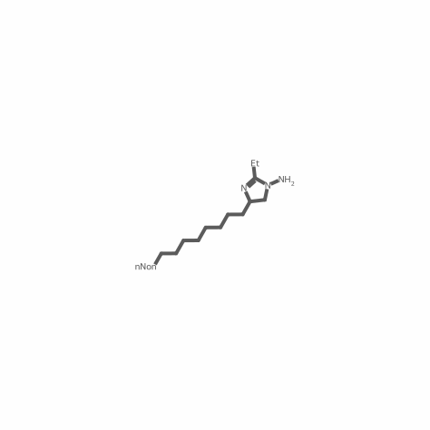 CCCCCCCCCCCCCCCCCC1CN(N)C(CC)=N1